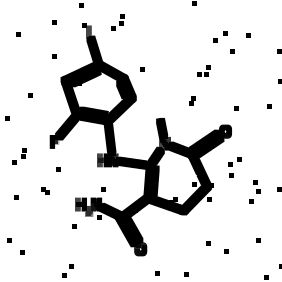 CN1C(=O)CCC(C(N)=O)=C1Nc1ccc(I)cc1F